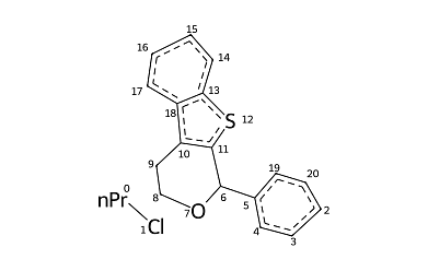 CCCCl.c1ccc(C2OCCc3c2sc2ccccc32)cc1